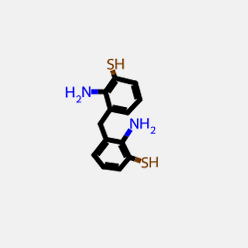 Nc1c(S)cccc1Cc1cccc(S)c1N